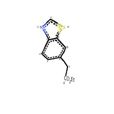 CCOC(=O)Cc1ccc2ncsc2c1